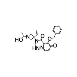 C=CC1(N2CNn3ccc(=O)c(OCc4ccccc4)c3C2=O)CN(C(C)O)C1